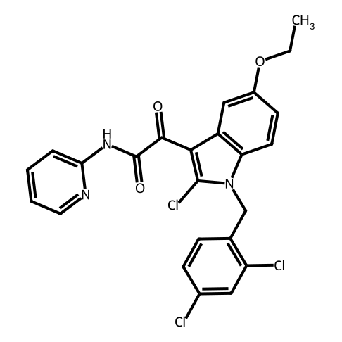 CCOc1ccc2c(c1)c(C(=O)C(=O)Nc1ccccn1)c(Cl)n2Cc1ccc(Cl)cc1Cl